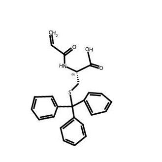 C=CC(=O)N[C@@H](CSC(c1ccccc1)(c1ccccc1)c1ccccc1)C(=O)O